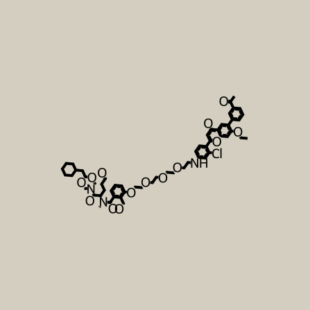 CCOc1cc2oc(-c3ccc(NCCOCCOCCOCCOc4cccc(C(=O)N(C)C(CCC=O)C(=O)N(C)COC(=O)CC5CCCCC5)c4C=O)cc3Cl)cc(=O)c2cc1-c1cccc(C(C)=O)c1